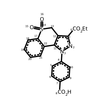 CCOC(=O)c1nn(-c2ccc(C(=O)O)cc2)c2c1CS(=O)(=O)c1ccccc1-2